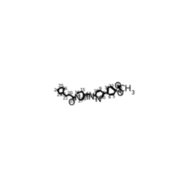 CS(=O)(=O)c1ccc(-c2ccc(NCC3CCN(C(=O)CCC4CCCC4)CC3)nc2)cc1